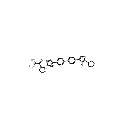 CC(C)[C@H](N)C(=O)N1CCC[C@H]1c1ncc(-c2ccc(-c3ccc(-c4cnc(C5CCCC5)[nH]4)cc3)cc2)[nH]1